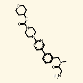 CN(Cc1cccc(-c2cnc(N3CCN(C(=O)OC4CCOCC4)CC3)nc2)c1)C(=O)CN